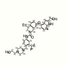 CC[C@@H]1CN(C(=O)Nc2ccc(CN3CCN(CCO)CC3)c(C(F)F)c2)Cc2cc(Oc3ccnc4[nH]c(CO)cc34)ccc21